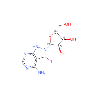 Nc1ncnc2c1C(I)N([C@@H]1O[C@H](CO)[C@@H](O)[C@H]1O)N2